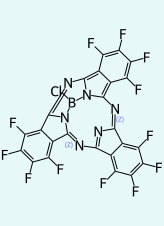 Fc1c(F)c(F)c2c(c1F)C1=NC/2=N\c2c3c(F)c(F)c(F)c(F)c3c3n2B(Cl)n2c(c4c(F)c(F)c(F)c(F)c4/c2=N/1)=N3